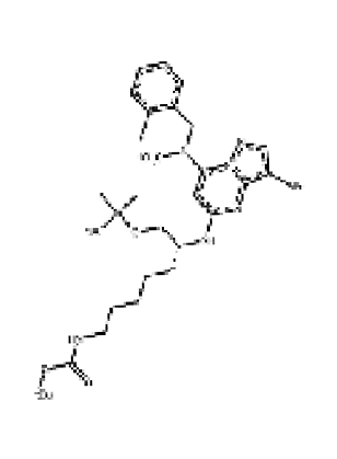 CC(C)c1cnn2c(N(Cc3ccccc3F)C(=O)O)cc(N[C@H](CCCCCNC(=O)OC(C)(C)C)CO[Si](C)(C)C(C)(C)C)nc12